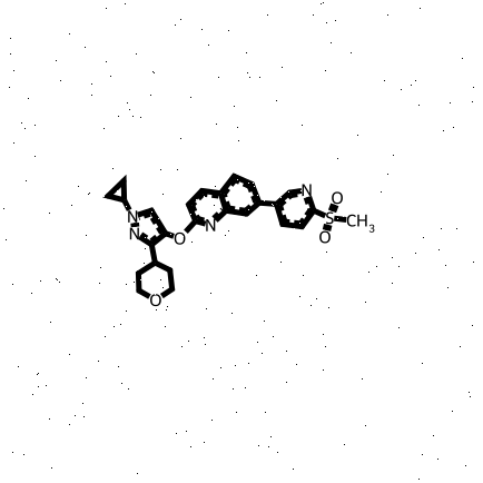 CS(=O)(=O)c1ccc(-c2ccc3ccc(Oc4cn(C5CC5)nc4C4CCOCC4)nc3c2)cn1